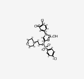 Cl.O=S(=O)(c1ccc(Cl)cc1)N(CCN1CCOCC1)c1cn(-c2ccc(Cl)c(Cl)c2)nn1